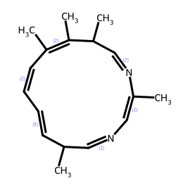 CC1=C/N=C\C(C)/C=C/C=C\C(C)=C(\C)C(C)/C=N\1